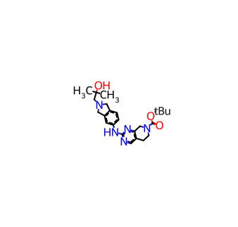 CC(C)(O)CN1Cc2ccc(Nc3ncc4c(n3)CN(C(=O)OC(C)(C)C)CC4)cc2C1